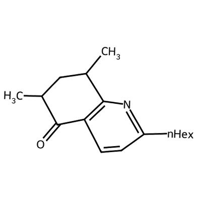 CCCCCCc1ccc2c(n1)C(C)CC(C)C2=O